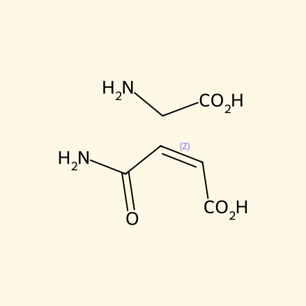 NC(=O)/C=C\C(=O)O.NCC(=O)O